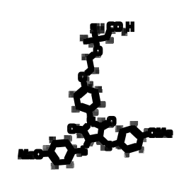 COc1ccc(SC2=C(Sc3ccc(OC)cc3)C(=O)N(c3ccc(OCCOC(C)(S)CC(=O)O)cc3)C2=O)cc1